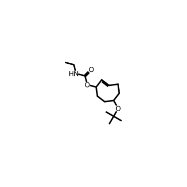 CCNC(=O)OC1/C=C/CCC(OC(C)(C)C)CC1